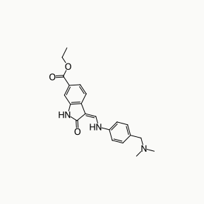 CCOC(=O)c1ccc2c(c1)NC(=O)/C2=C\Nc1ccc(CN(C)C)cc1